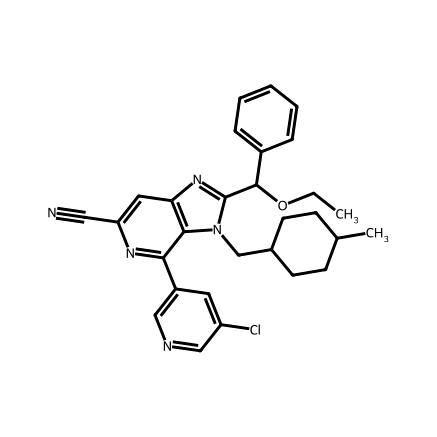 CCOC(c1ccccc1)c1nc2cc(C#N)nc(-c3cncc(Cl)c3)c2n1CC1CCC(C)CC1